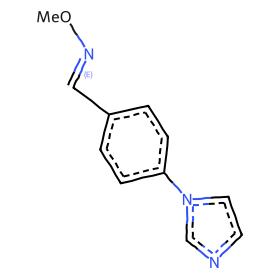 CO/N=C/c1ccc(-n2ccnc2)cc1